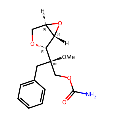 CO[C@@](COC(N)=O)(Cc1ccccc1)[C@@H]1OC[C@H]2O[C@H]12